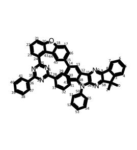 CC1(C)c2ccccc2-c2nc3c4cc(-c5ccc6oc7cccc(-c8nc(-c9ccccc9)nc(-c9ccccc9)n8)c7c6c5)ccc4n(-c4ccccc4)c3nc21